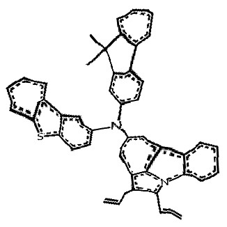 C=Cc1c(C=C)n2c3ccccc3c3cc(N(c4ccc5c(c4)C(C)(C)c4ccccc4-5)c4ccc5sc6ccccc6c5c4)cc1c32